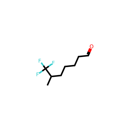 CC(CCCCC=O)C(F)(F)F